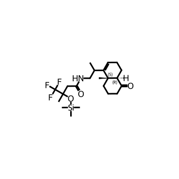 CC(CNC(=O)CC(C)(O[Si](C)(C)C)C(F)(F)F)C1=CCC[C@H]2C(=O)CCC[C@]12C